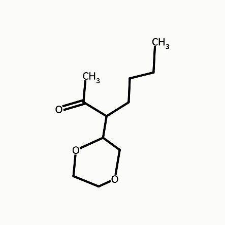 CCCCC(C(C)=O)C1COCCO1